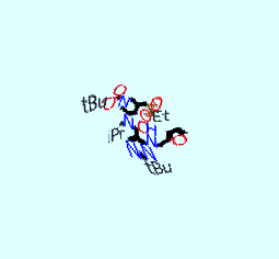 CCS(=O)(=O)CC1CC(N(CC(C)C)C(=O)c2cnc(C(C)(C)C)nc2NCc2ccco2)CN(C(=O)OC(C)(C)C)C1